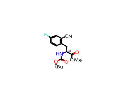 COC(=O)[C@H](Cc1ccc(F)cc1C#N)NC(=O)OC(C)(C)C